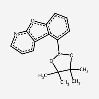 CC1(C)OB(c2cccc3oc4ncccc4c23)OC1(C)C